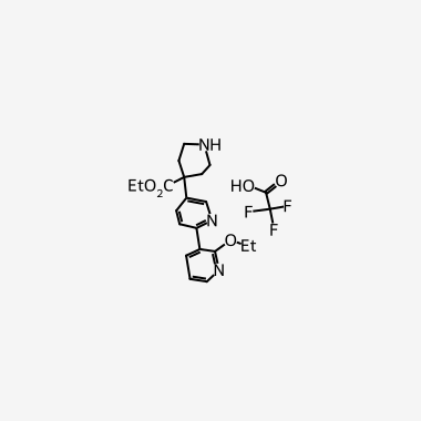 CCOC(=O)C1(c2ccc(-c3cccnc3OCC)nc2)CCNCC1.O=C(O)C(F)(F)F